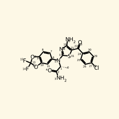 C[C@H](C(N)=O)N(c1ccc2c(c1)OC(F)(F)O2)c1nc(N)c(C(=O)c2ccc(Cl)cc2)s1